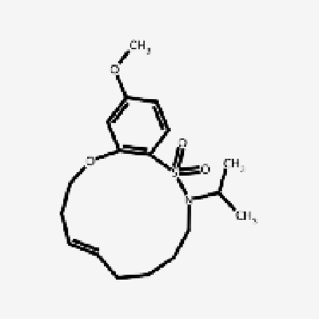 COc1ccc2c(c1)OCC/C=C/CCCCN(C(C)C)S2(=O)=O